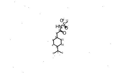 CC(C)C1CCC(CC(=O)NS(C)(=O)=O)CC1